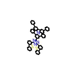 c1ccc(-c2ccc3c(c2)c2cc(-c4ccccc4)ccc2n3-c2c(-c3ccccc3)cc(-c3nc(-c4cccc5c4sc4ccccc45)nc(-c4cccc5c4sc4ccccc45)n3)cc2-c2ccccc2)cc1